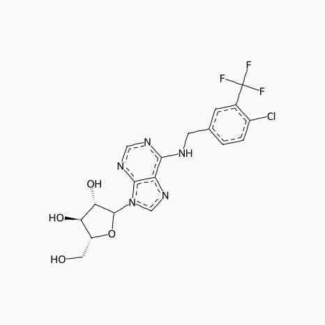 OC[C@H]1OC(n2cnc3c(NCc4ccc(Cl)c(C(F)(F)F)c4)ncnc32)[C@@H](O)[C@@H]1O